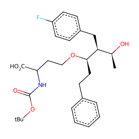 C[C@H](O)[C@H](Cc1ccc(F)cc1)[C@@H](CCc1ccccc1)OCCC(NC(=O)OC(C)(C)C)C(=O)O